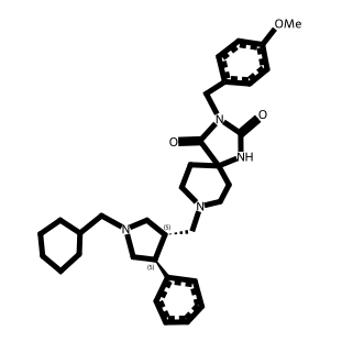 COc1ccc(CN2C(=O)NC3(CCN(C[C@H]4CN(CC5CCCCC5)C[C@@H]4c4ccccc4)CC3)C2=O)cc1